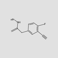 C#Cc1cc(CC(=C)NCCC)ccc1F